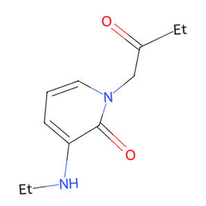 CCNc1cccn(CC(=O)CC)c1=O